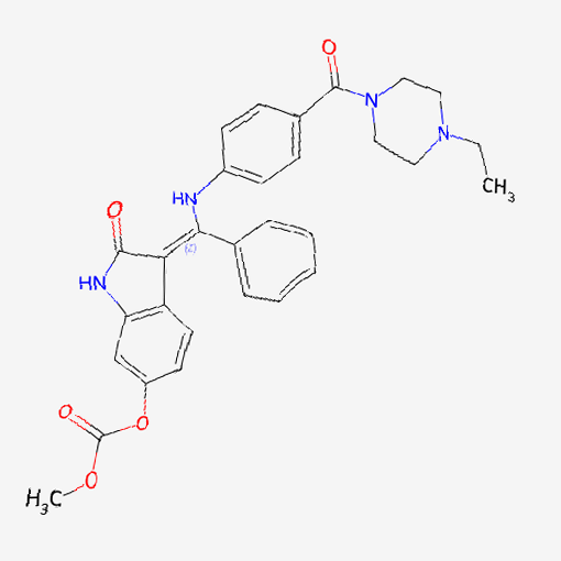 CCN1CCN(C(=O)c2ccc(N/C(=C3\C(=O)Nc4cc(OC(=O)OC)ccc43)c3ccccc3)cc2)CC1